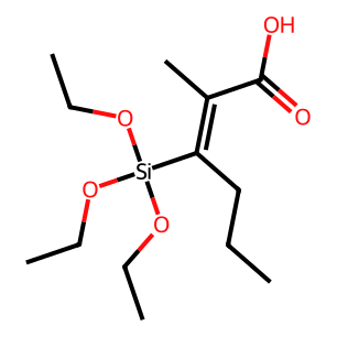 CCCC(=C(C)C(=O)O)[Si](OCC)(OCC)OCC